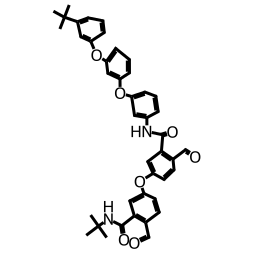 CC(C)(C)NC(=O)c1cc(Oc2ccc(C=O)c(C(=O)Nc3cccc(Oc4cccc(Oc5cccc(C(C)(C)C)c5)c4)c3)c2)ccc1C=O